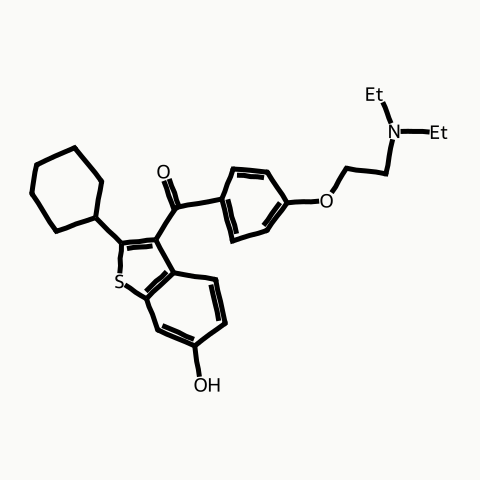 CCN(CC)CCOc1ccc(C(=O)c2c(C3CCCCC3)sc3cc(O)ccc23)cc1